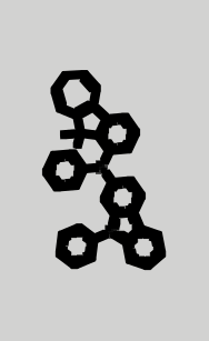 CC1(C)C2=C(C=CCC=C2)c2cccc(N(c3ccccc3)c3ccc4c5ccccc5n(-c5ccccc5)c4c3)c21